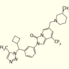 Cc1cnnn1C(c1cccc(-n2cc3c(C(F)(F)F)cc(CN4CCC[C@H](C)C4)cn3c2=O)c1)C1CCC1